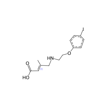 C/C(=C\C(=O)O)CNCCOc1ccc(I)cc1